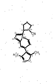 Cc1noc(C)c1-c1ccn2c(C3CCCN3C#N)cnc2c1